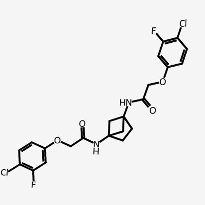 O=C(COc1ccc(Cl)c(F)c1)NC12CCC(NC(=O)COc3ccc(Cl)c(F)c3)(C1)C2